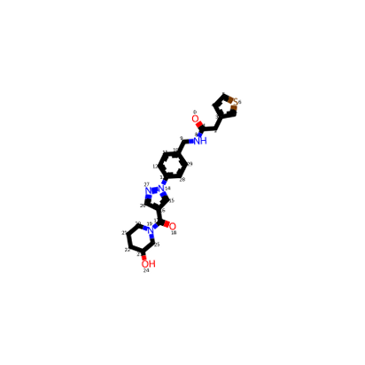 O=C(Cc1ccsc1)NCc1ccc(-n2cc(C(=O)N3CCCC(O)C3)cn2)cc1